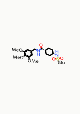 COc1cc(CNC(=O)[C@H]2CC[C@H](NS(=O)(=O)C(C)(C)C)CC2)cc(OC)c1OC